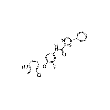 C=C(N)/C(Cl)=C(\C=C/C)Oc1ccc(NC(=O)c2ncc(-c3ccccc3)s2)cc1F